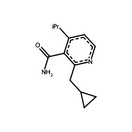 CC(C)c1ccnc(CC2CC2)c1C(N)=O